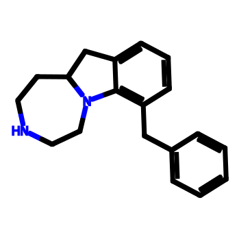 c1ccc(Cc2cccc3c2N2CCNCCC2C3)cc1